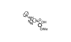 COc1ccc(C(=O)N2CCc3c(ncnc3NCC34CC5CC(CC(C5)C3)C4)C2)c(O)c1